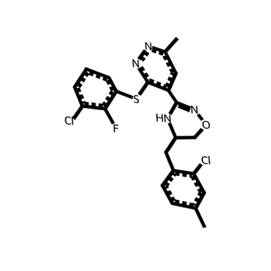 Cc1ccc(CC2CON=C(c3cc(C)nnc3Sc3cccc(Cl)c3F)N2)c(Cl)c1